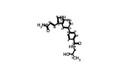 C[C@@H](O)CNC(=O)c1ccc(-c2cnc3[nH]cc(/C=C/C(N)=O)c3c2)cc1